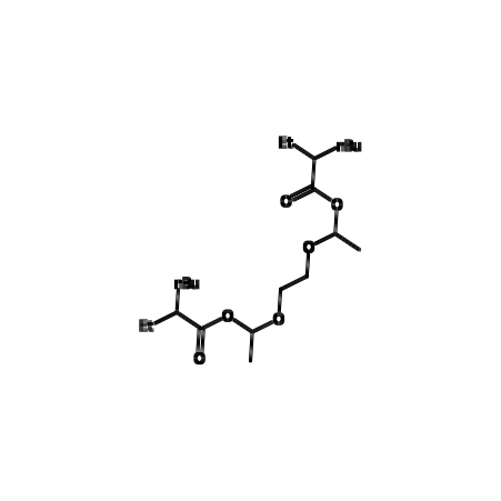 CCCCC(CC)C(=O)OC(C)OCCOC(C)OC(=O)C(CC)CCCC